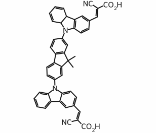 CC1(C)c2cc(N3c4ccc(/C=C(\C#N)C(=O)O)cc4C4C=CC=CC43)ccc2-c2ccc(-n3c4ccccc4c4cc(/C=C(\C#N)C(=O)O)ccc43)cc21